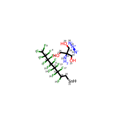 FC(F)C(F)(F)C(F)(F)C(F)(F)C(F)(F)C(F)(F)C(F)[CH2][SnH].NC(CO)(CO)CO.[N-]=[N+]=[N-]